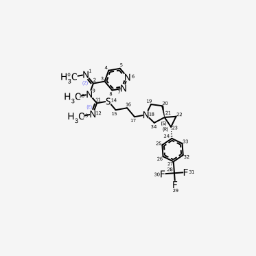 C/N=C(/c1ccnnc1)N(C)/C(=N\C)SCCCN1CC[C@]2(C[C@@H]2c2ccc(C(F)(F)F)cc2)C1